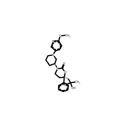 COc1ccc(N2CCC[C@H](N3CC[C@](CC(C)(C)O)(c4ccccc4)OC3=O)C2)cn1